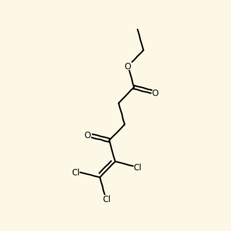 CCOC(=O)CCC(=O)C(Cl)=C(Cl)Cl